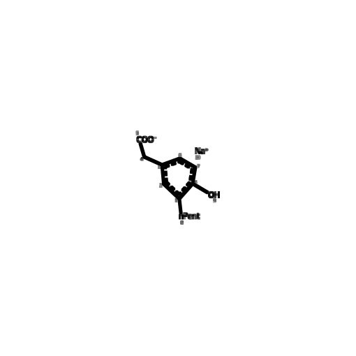 CCCCCc1cc(CC(=O)[O-])ccc1O.[Na+]